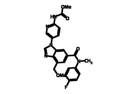 COCc1cc(C(=O)N(C)c2ccc(F)cc2)cc2c1ncn2-c1ccc(NC(=O)OC)nc1